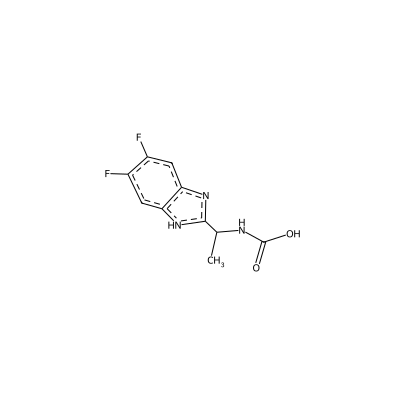 CC(NC(=O)O)c1nc2cc(F)c(F)cc2[nH]1